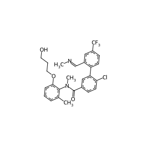 C/N=C/c1cc(C(F)(F)F)ccc1-c1cc(C(=O)N(C)c2c(C)cccc2OCCCO)ccc1Cl